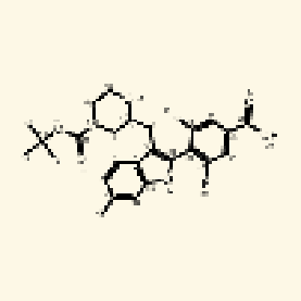 Cc1ccc2c(C[C@H]3CN(C(=O)OC(C)(C)C)CCO3)c(-c3c(F)cc(C(=O)O)cc3F)oc2c1